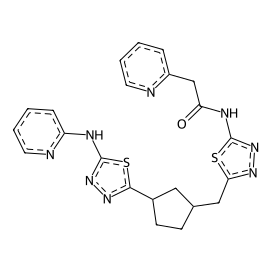 O=C(Cc1ccccn1)Nc1nnc(CC2CCC(c3nnc(Nc4ccccn4)s3)C2)s1